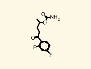 CC(CCC(=O)c1ccc(F)cc1F)OC(N)=O